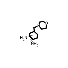 N[C@@H]1CC(CN2CCOCC2)CC[C@@H]1N